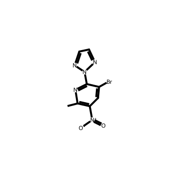 Cc1nc(-n2nccn2)c(Br)cc1[N+](=O)[O-]